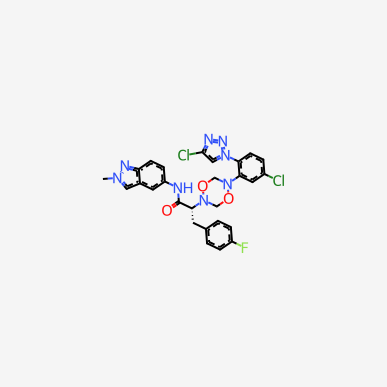 Cn1cc2cc(NC(=O)[C@@H](Cc3ccc(F)cc3)N3CON(c4cc(Cl)ccc4-n4cc(Cl)nn4)CO3)ccc2n1